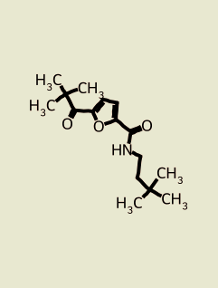 CC(C)(C)CCNC(=O)c1ccc(C(=O)C(C)(C)C)o1